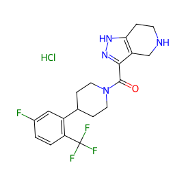 Cl.O=C(c1n[nH]c2c1CNCC2)N1CCC(c2cc(F)ccc2C(F)(F)F)CC1